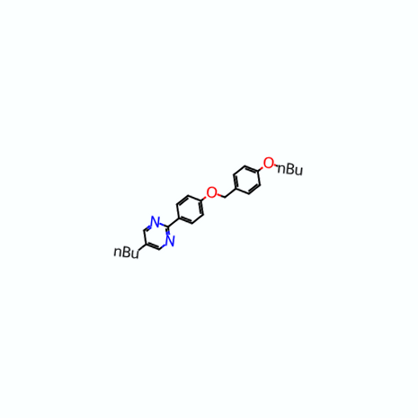 CCCCOc1ccc(COc2ccc(-c3ncc(CCCC)cn3)cc2)cc1